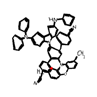 Cc1ccc2c(c1)N(c1cc(-c3ccc(C#N)cc3)c(-n3c4ccc(Nc5ccccc5)cc4c4cc(N(c5ccccc5)c5ccccc5)ccc43)cc1-c1ccc(C#N)cc1)c1cc(C)ccc1O2